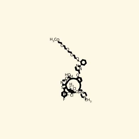 COCCOCCOCCOCCOC[C@@H]1CCCC[C@H]1c1nccc(COc2ccc3cc2C[C@H](C(=O)O)Cc2ncnc4sc(-c5ccc(F)cc5)c(c24)-c2c(C)c(Cl)c(c(Cl)c2C)O[C@H](CN2CCN(C)CC2)CC3)n1